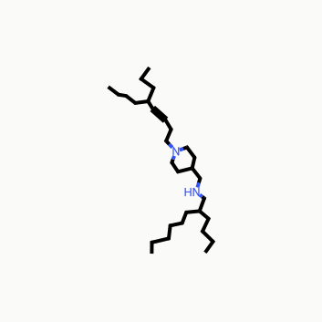 CCCCCCC(CCCC)CNCC1CCN(CCC#CC(CCC)CCCC)CC1